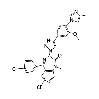 COc1cc(-c2cn(C3N=C(c4ccc(Cl)cc4)c4cc(Cl)ccc4N(C)C3=O)nn2)ccc1-n1cnc(C)c1